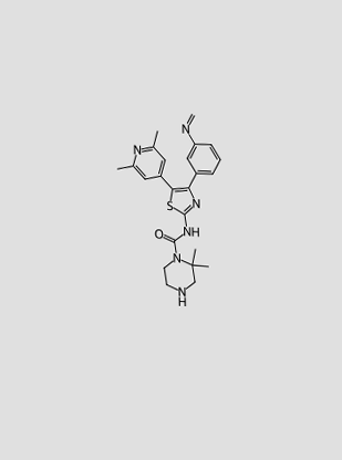 C=Nc1cccc(-c2nc(NC(=O)N3CCNCC3(C)C)sc2-c2cc(C)nc(C)c2)c1